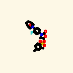 Cc1ccc(S(=O)(=O)OC2CN(c3ccc(N4CC5CCC(C4)O5)c(F)c3)C(=O)O2)c(C)c1